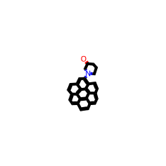 O=C1CCCN(c2cc3ccc4ccc5ccc6ccc7ccc2c2c7c6c5c4c32)C1